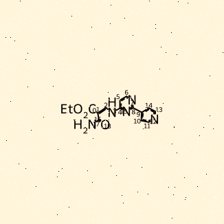 CCOC(=O)/C(=C/Nc1ccnc(-c2ccncc2)n1)C(N)=O